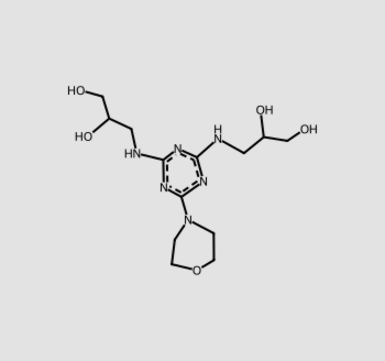 OCC(O)CNc1nc(NCC(O)CO)nc(N2CCOCC2)n1